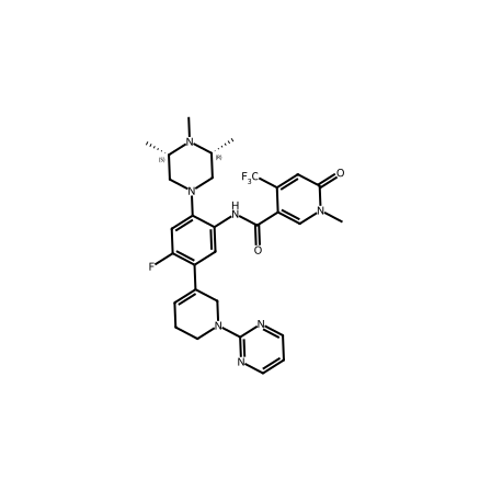 C[C@@H]1CN(c2cc(F)c(C3=CCCN(c4ncccn4)C3)cc2NC(=O)c2cn(C)c(=O)cc2C(F)(F)F)C[C@H](C)N1C